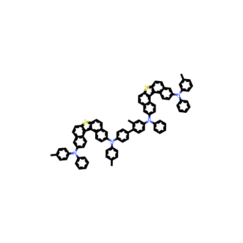 Cc1ccc(N(c2ccccc2)c2ccc3c(ccc4sc5ccc6cc(N(c7ccc(C)cc7)c7ccc(-c8ccc(N(c9ccccc9)c9ccc%10c(ccc%11sc%12ccc%13cc(N(c%14ccccc%14)c%14cccc(C)c%14)ccc%13c%12c%11%10)c9)cc8C)cc7)ccc6c5c43)c2)cc1